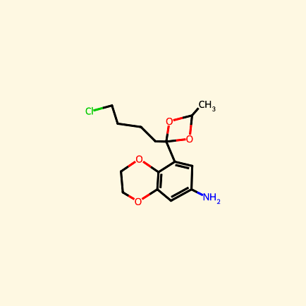 CC1OC(CCCCCl)(c2cc(N)cc3c2OCCO3)O1